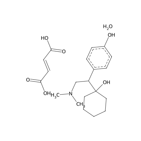 CN(C)CC(c1ccc(O)cc1)C1(O)CCCCC1.O.O=C(O)C=CC(=O)O